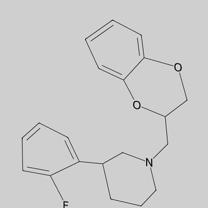 Fc1ccccc1C1CCCN(CC2COc3ccccc3O2)C1